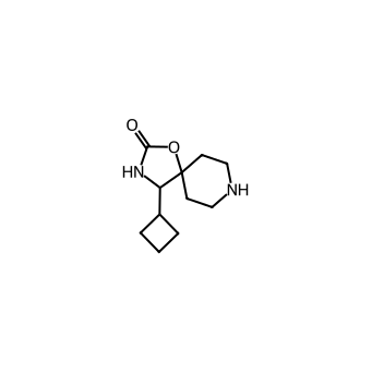 O=C1NC(C2CCC2)C2(CCNCC2)O1